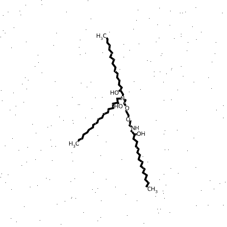 CCCCCCCCCCCCCCCCC(O)CNCCOCCOCCN(CC(O)CCCCCCCCCCCCCCCC)CC(O)CCCCCCCCCCCCCCCC